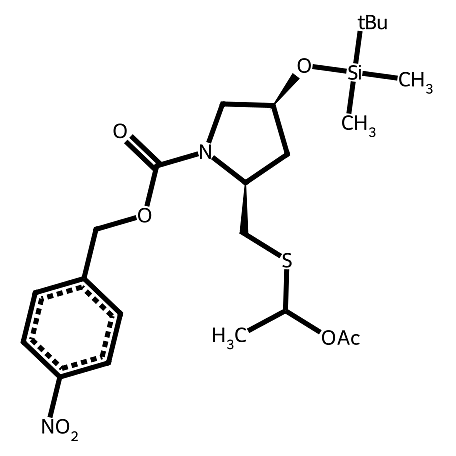 CC(=O)OC(C)SC[C@@H]1C[C@H](O[Si](C)(C)C(C)(C)C)CN1C(=O)OCc1ccc([N+](=O)[O-])cc1